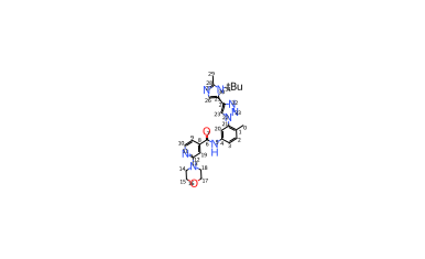 Cc1ccc(NC(=O)c2ccnc(N3CCOCC3)c2)cc1-n1cc(-c2cnc(C)n2C(C)(C)C)nn1